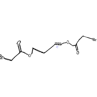 O=C(CBr)O/C=C/CCOC(=O)CBr